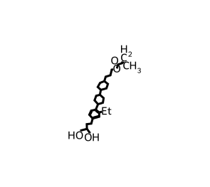 C=C(C)C(=O)OCCCC1CCC(C2CCC(c3ccc(CCC(CO)CO)cc3CC)CC2)CC1